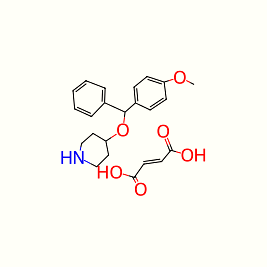 COc1ccc(C(OC2CCNCC2)c2ccccc2)cc1.O=C(O)/C=C/C(=O)O